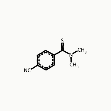 CN(C)C(=S)c1ccc(C#N)cc1